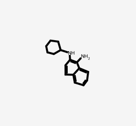 Nc1c(NC2CCCCC2)ccc2ccccc12